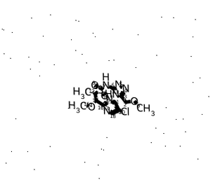 COCc1nnc(NS(=O)(=O)[C@@H](C)[C@H](OC)c2ncc(Cl)cn2)[nH]1